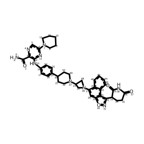 NC(=O)c1ncc(N2CCCCC2)nc1Nc1ccc(C2CCN(C3CN(c4cc5onc(C6CCC(=O)NC6=O)c5c5ccccc45)C3)CC2)cc1